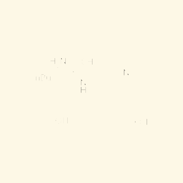 CCCCC(CCO)C(C)(N)Nc1ccnc2cc(O)ccc12